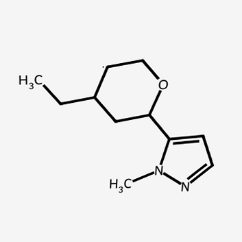 CCC1[CH]COC(c2ccnn2C)C1